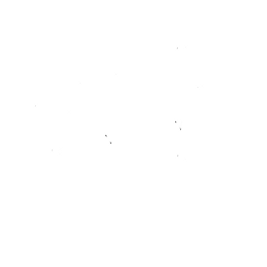 CC(=O)N(O)C1c2ccccc2S(=O)(=O)N1c1ccccc1